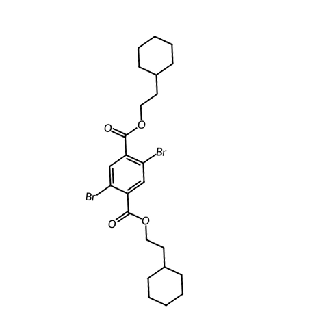 O=C(OCCC1CCCCC1)c1cc(Br)c(C(=O)OCCC2CCCCC2)cc1Br